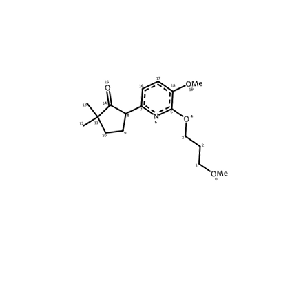 COCCCOc1nc(C2CCC(C)(C)C2=O)ccc1OC